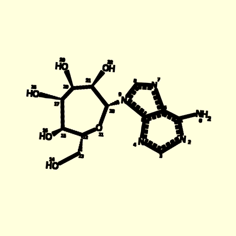 Nc1ncnc2c1ncn2[C@@H]1O[C@H](CO)[C@@H](O)[C@@H](O)[C@@H](O)[C@H]1O